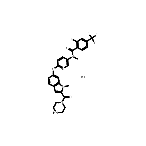 CN(C(=O)c1ccc(C(F)(F)F)cc1F)c1ccc(Oc2ccc3cc(C(=O)N4CCNCC4)n(C)c3c2)nc1.Cl